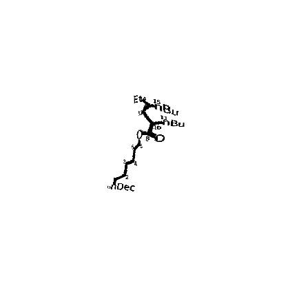 CCCCCCCCCCCCCCCCOC(=O)C(CCCC)CC(CC)CCCC